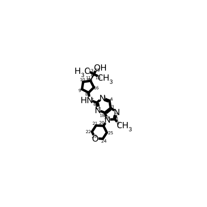 Cc1nc2cnc(NC3CC[C@@H](C(C)(C)O)C3)nc2n1C1CCOCC1